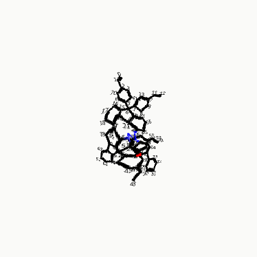 C=Cc1ccc(C2(c3ccc(C=C)cc3)c3ccccc3-c3c(N(c4ccc(-c5ccccc5)cc4)c4cccc5c4C(c4ccc(C=C)cc4)(c4ccc(C=C)cc4)c4ccccc4-5)cccc32)cc1